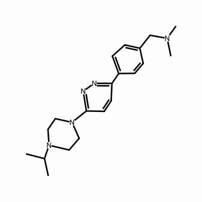 CC(C)N1CCN(c2ccc(-c3ccc(CN(C)C)cc3)nn2)CC1